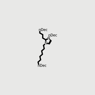 CCCCCCCCCCCCCCCCCN1C=CN(CCCCCCCCCC)C1CCCCCCCCCCCCC